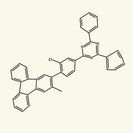 CCc1cc(-c2nc(-c3ccccc3)nc(-c3ccccc3)n2)ccc1-c1cc2c3ccccc3c3ccccc3c2cc1C